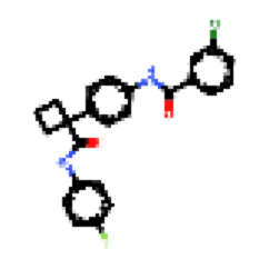 O=C(Nc1ccc(C2(C(=O)Nc3ccc(F)cc3)CCC2)cc1)c1cccc(Cl)c1